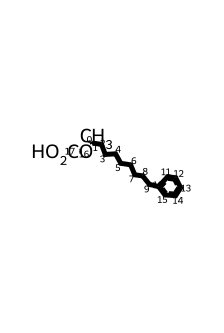 CC(CCCCCCCCc1ccccc1)OC(=O)O